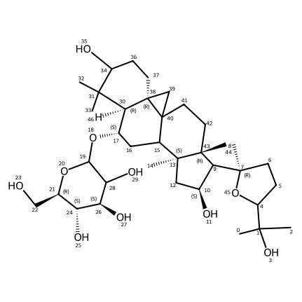 CC(C)(O)C1CC[C@](C)(C2[C@@H](O)C[C@@]3(C)C4C[C@H](OC5O[C@H](CO)[C@@H](O)[C@H](O)C5O)[C@H]5C(C)(C)C(O)CC[C@@]56CC46CC[C@]23C)O1